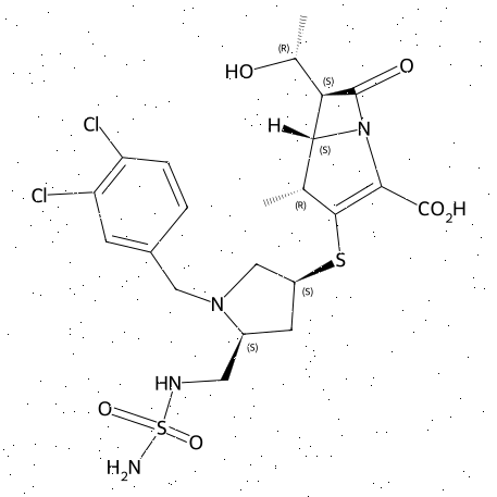 C[C@@H](O)[C@H]1C(=O)N2C(C(=O)O)=C(S[C@H]3C[C@@H](CNS(N)(=O)=O)N(Cc4ccc(Cl)c(Cl)c4)C3)[C@H](C)[C@H]12